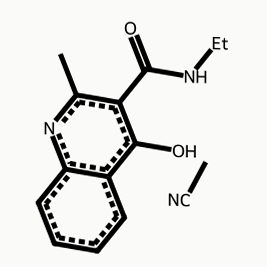 CC#N.CCNC(=O)c1c(C)nc2ccccc2c1O